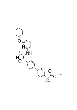 CCOC(=O)C1(c2ccc(-c3ccc(-c4onc(C)c4Nc4cccc(OC5CCCCC5)n4)cc3)cc2)CC1